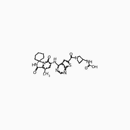 Cc1cc(Nc2ncnc3sc(C(=O)N4CC(NC(=O)O)C4)cc23)c(=O)n2c1C(=O)NC21CCCCC1